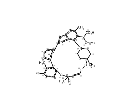 Cc1nc2cc3nn2c(c1[C@H](OC(C)(C)C)C(=O)O)N1CCC(C)(CC1)OCC=C[C@H](C)Oc1ccc(F)c(C)c1-c1cccc-3c1